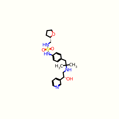 CC(C)(Cc1ccc(NS(=O)(=O)NC[C@@H]2CCCO2)cc1)NC[C@H](O)c1cccnc1